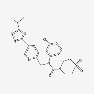 O=C(N1CCS(=O)(=O)CC1)N(Cc1ccc(-c2nnc(C(F)F)o2)cn1)c1cccc(Cl)c1